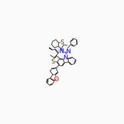 C=C/C=C\c1c(C)sc2c(C3=CCC4C(=C3)Oc3ccc#cc34)cc3c4ccccc4n(C(/N=C4\C(C)SC5CCCCC45)=N/Cc4ccccc4)c3c12